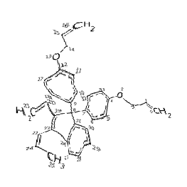 C=CCOc1ccc(C2(c3ccc(OCC=C)cc3)C(C=C)=C(/C=C\C)c3ccccc32)cc1